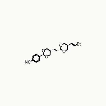 CCC=C[C@H]1CO[C@H](CC[C@H]2CO[C@H](c3ccc(C#N)cc3)OC2)OC1